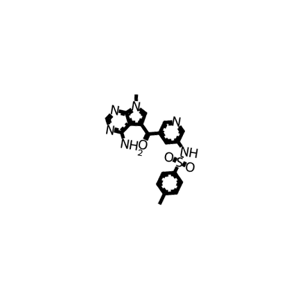 Cc1ccc(S(=O)(=O)Nc2cncc(C(=O)c3cn(C)c4ncnc(N)c34)c2)cc1